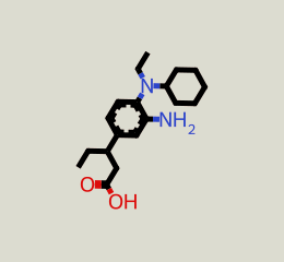 CCC(CC(=O)O)c1ccc(N(CC)C2CCCCC2)c(N)c1